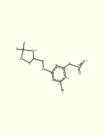 CC1(C)OCC(COc2cc(Br)nc(C[SH](=O)=O)c2)O1